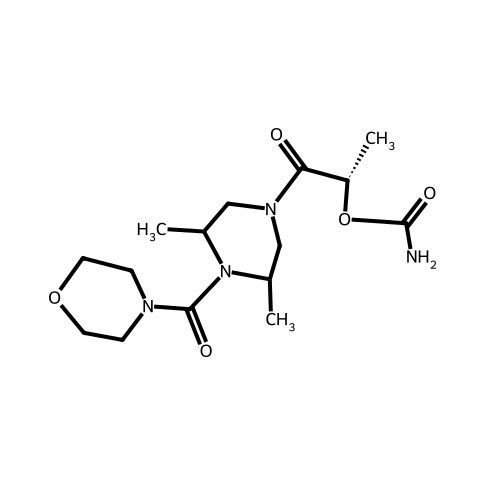 CC1CN(C(=O)[C@H](C)OC(N)=O)CC(C)N1C(=O)N1CCOCC1